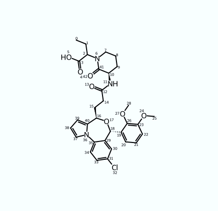 CCC(C(=O)O)N1CCC[C@@H](NC(=O)CC[C@H]2O[C@H](c3cccc(OC)c3OC)c3cc(Cl)ccc3-n3cccc32)C1=O